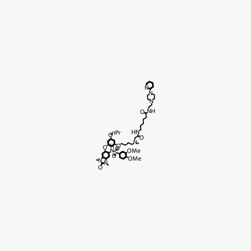 CCCOc1cc(OCCCCN(C)CC(=O)NCCCCCC(=O)NCCN2CCN(c3ccccn3)CC2)cc(Oc2cc3c(cc2NS(=O)(=O)c2ccc(OC)c(OC)c2)n(C)c(=O)n3C)c1